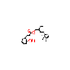 CCC(=CCC1CC=C(C)C1(C)C)COC(=O)C=Cc1ccccc1O